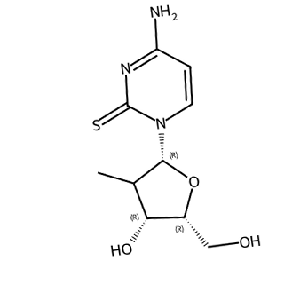 CC1[C@@H](O)[C@@H](CO)O[C@H]1n1ccc(N)nc1=S